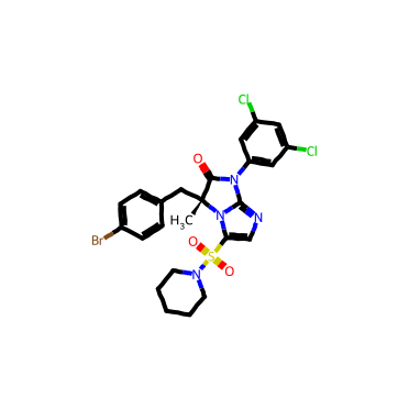 C[C@@]1(Cc2ccc(Br)cc2)C(=O)N(c2cc(Cl)cc(Cl)c2)c2ncc(S(=O)(=O)N3CCCCC3)n21